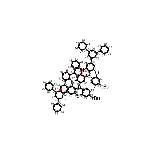 CC(C)(C)c1ccc2c(c1)Oc1cc(-c3cc(-c4ccccc4)cc(-c4ccccc4)c3)cc3c1B2c1cc2c(cc1N3c1ccccc1)N(c1c(-c3ccccc3)cccc1-c1ccccc1)c1cc(-c3cc(-c4ccccc4)cc(-c4ccccc4)c3)cc3c1B2c1ccc(C(C)(C)C)cc1S3